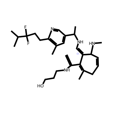 C=C(NCCCO)C1=C(C)CC=CC(NC)/C1=C\NC(C)c1cnc(CCC(F)(F)C(C)C)c(C)c1